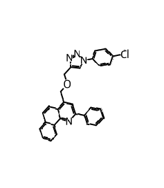 Clc1ccc(-n2cc(COCc3cc(-c4ccccc4)nc4c3ccc3ccccc34)nn2)cc1